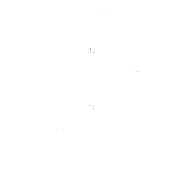 O=CNC1CN(C(=O)c2ccccc2)CC1=O